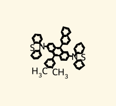 Cc1ccc(-c2c3ccc(N4c5ccccc5Sc5ccccc54)cc3c(-c3ccc4ccccc4c3)c3ccc(N4c5ccccc5Sc5ccccc54)cc23)cc1C